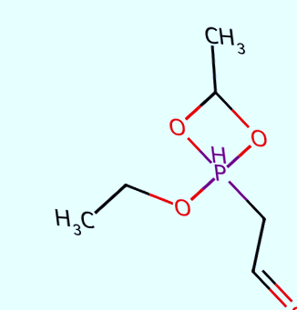 CCO[PH]1(CC=O)OC(C)O1